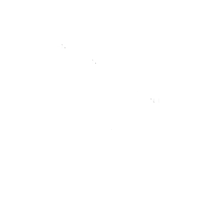 c1ccc(Sc2c[nH]c3ccc(N4CCNCC4)cc23)cc1